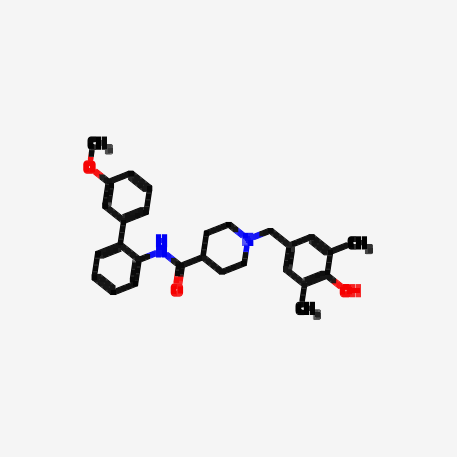 COc1cccc(-c2ccccc2NC(=O)C2CCN(Cc3cc(C)c(O)c(C)c3)CC2)c1